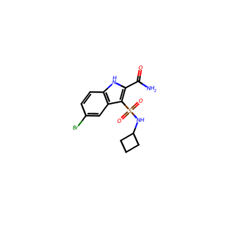 NC(=O)c1[nH]c2ccc(Br)cc2c1S(=O)(=O)NC1CCC1